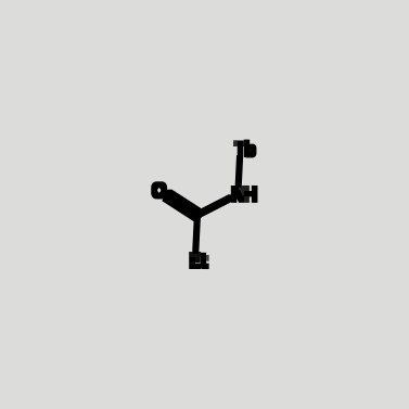 CCC(=O)[NH][Tb]